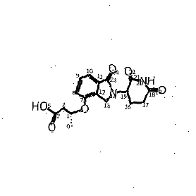 C[C@H](CC(=O)O)Oc1cccc2c1CN(C1CCC(=O)NC1=O)C2=O